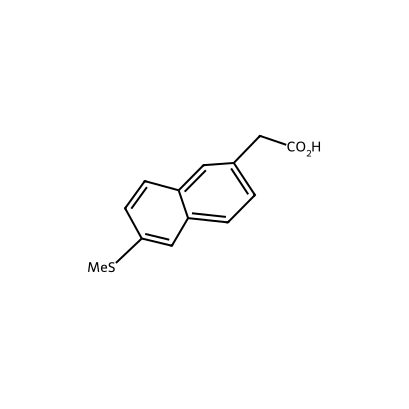 CSc1ccc2cc(CC(=O)O)ccc2c1